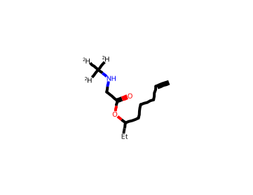 [2H]C([2H])([2H])NCC(=O)OC(CC)CCCC=C